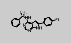 CCc1ccc(-c2cc3c(N[C@H](C)c4ccccc4)ncnc3[nH]2)cc1